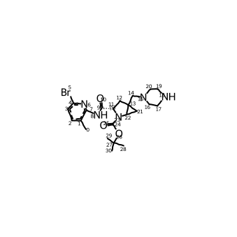 Cc1ccc(Br)nc1NC(=O)[C@@H]1CC2(CN3CCNCC3)CC2N1C(=O)OC(C)(C)C